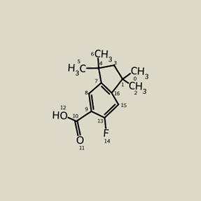 CC1(C)CC(C)(C)c2cc(C(=O)O)c(F)cc21